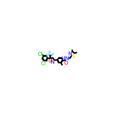 Cc1cc(C2=NOC(c3cc(Cl)cc(Cl)c3)(C(F)(F)F)C2)ccc1C(=O)NCC1=NC(C)C(C)S1